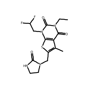 CCn1c(=O)c2c(C)c(CN3CCNC3=O)sc2n(CC(F)F)c1=O